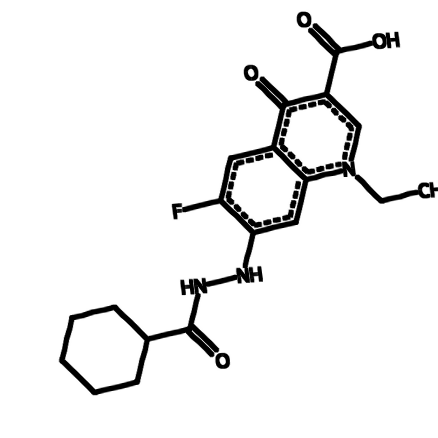 CCn1cc(C(=O)O)c(=O)c2cc(F)c(NNC(=O)C3CCCCC3)cc21